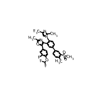 Cc1nc(-c2cc(-c3ccc(C)c(S(C)(=O)=O)c3)ccc2-n2cc(C(F)(F)F)nc2C)c(-c2ccc(OC(F)F)c(F)c2)o1